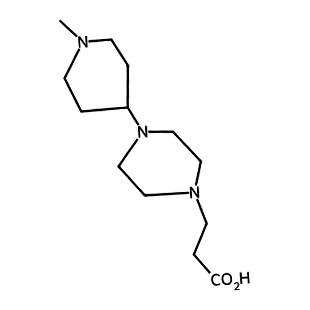 CN1CCC(N2CCN(CCC(=O)O)CC2)CC1